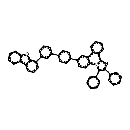 c1ccc(-c2nc3c4ccccc4c4cc(-c5ccc(-c6cccc(-c7cccc8c7oc7ccccc78)c6)cc5)ccc4n3c2-c2ccccc2)cc1